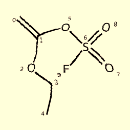 C=C(OCC)OS(=O)(=O)F